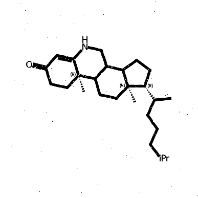 CC(C)CCCC(C)[C@H]1CCC2C3CNC4=CC(=O)CC[C@]4(C)C3CC[C@@]21C